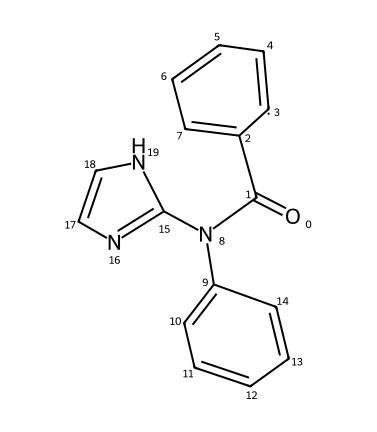 O=C(c1[c]cccc1)N(c1ccccc1)c1ncc[nH]1